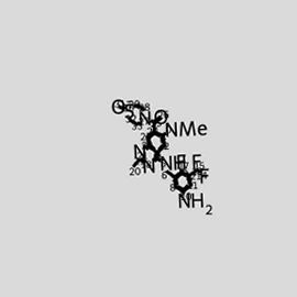 CNc1cc2c(NCc3cc(N)cc(C(F)F)c3F)nc(C)nc2cc1C(=O)N1CC[S+]([O-])CC1